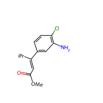 COC(=O)C=C(c1ccc(Cl)c(N)c1)C(C)C